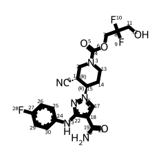 N#C[C@@H]1CN(C(=O)OCC(F)(F)CO)CC[C@H]1n1cc(C(N)=O)c(Nc2ccc(F)cc2)n1